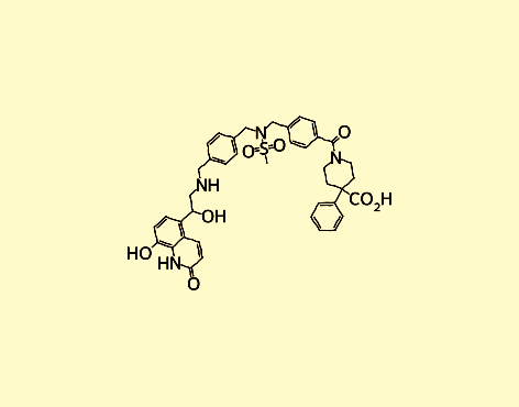 CS(=O)(=O)N(Cc1ccc(CNCC(O)c2ccc(O)c3[nH]c(=O)ccc23)cc1)Cc1ccc(C(=O)N2CCC(C(=O)O)(c3ccccc3)CC2)cc1